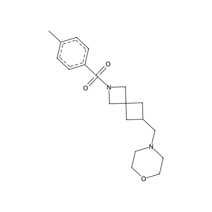 Cc1ccc(S(=O)(=O)N2CC3(CC(CN4CCOCC4)C3)C2)cc1